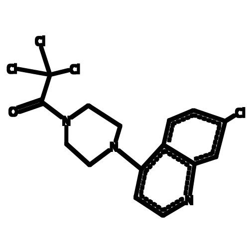 O=C(N1CCN(c2ccnc3cc(Cl)ccc23)CC1)C(Cl)(Cl)Cl